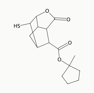 CC1(OC(=O)C2C3CC4C(OC(=O)C42)C3S)CCCC1